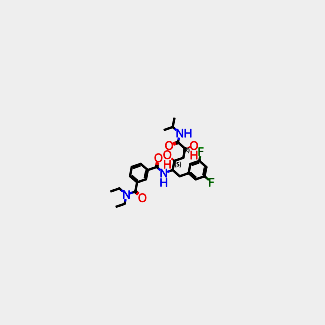 CCN(CC)C(=O)c1cccc(C(=O)NC(Cc2cc(F)cc(F)c2)[C@@H](O)C[C@@H](O)C(=O)NC(C)C)c1